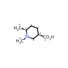 C[C@H]1CC[C@@H](C(=O)O)CN1C